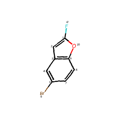 Fc1cc2cc(Br)ccc2o1